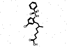 CC(CCCCC(=O)O)Cc1cc(Cl)ccc1NS(=O)(=O)c1ccccc1